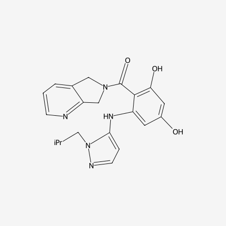 CC(C)Cn1nccc1Nc1cc(O)cc(O)c1C(=O)N1Cc2cccnc2C1